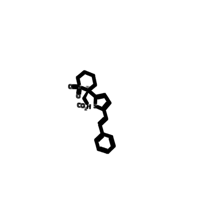 O=C(O)C[C@]1(c2ccc(C=Cc3ccccc3)s2)CCCCS1(=O)=O